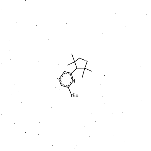 CC(C)(C)c1cccc(C2C(C)(C)CCC2(C)C)n1